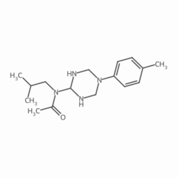 CC(=O)N(CC(C)C)C1NCN(c2ccc(C)cc2)CN1